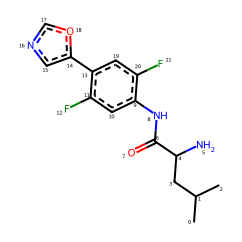 CC(C)CC(N)C(=O)Nc1cc(F)c(-c2cnco2)cc1F